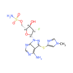 Cn1cnc(Sc2nn([C@@H]3O[C@H](COS(N)(=O)=O)[C@@H](O)[C@@H]3F)c3ncnc(N)c23)c1